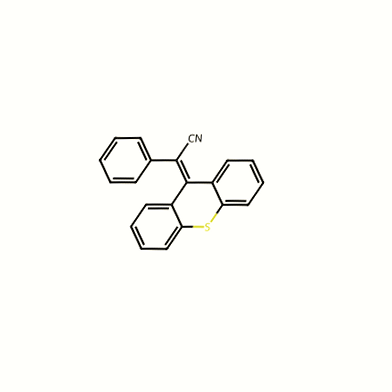 N#CC(=C1c2ccccc2Sc2ccccc21)c1ccccc1